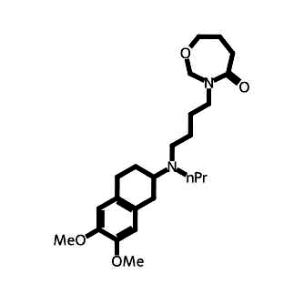 CCCN(CCCCN1COCCCC1=O)C1CCc2cc(OC)c(OC)cc2C1